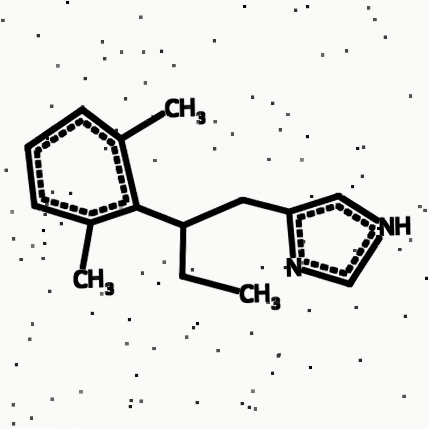 CCC(Cc1c[nH]cn1)c1c(C)cccc1C